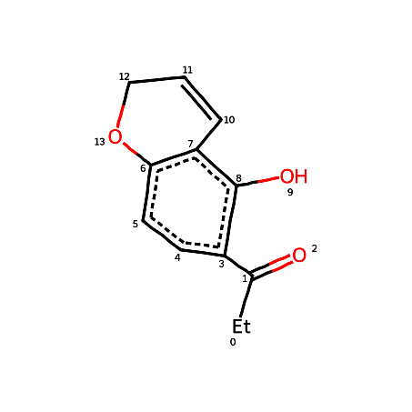 CCC(=O)c1ccc2c(c1O)C=CCO2